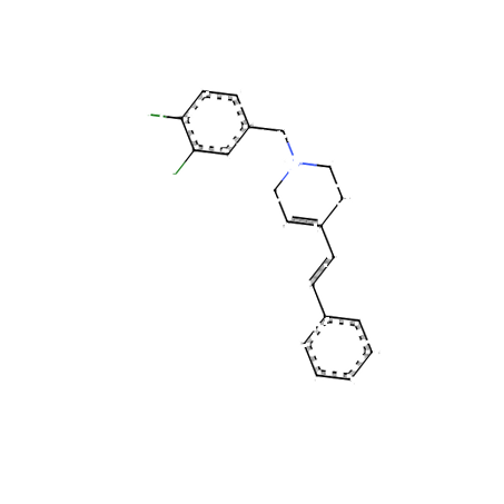 Clc1ccc(CN2CC=C(C=Cc3ccccc3)CC2)cc1Cl